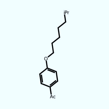 CC(=O)c1ccc(OCCCCCC(C)C)cc1